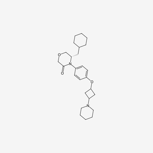 O=C1COC[C@H](CC2CCCCC2)N1c1ccc(OC2CC(N3CCCCC3)C2)cc1